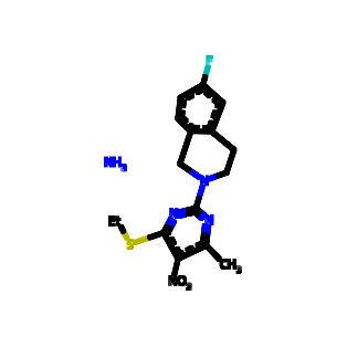 CCSc1nc(N2CCc3cc(F)ccc3C2)nc(C)c1[N+](=O)[O-].N